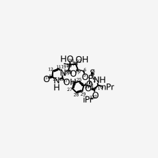 CCCC(NP(=S)(OC[C@H]1O[C@@H](N2C=CC(=O)NC2O)[C@](C)(O)[C@@H]1O)Oc1ccccc1)C(=O)OC(C)C